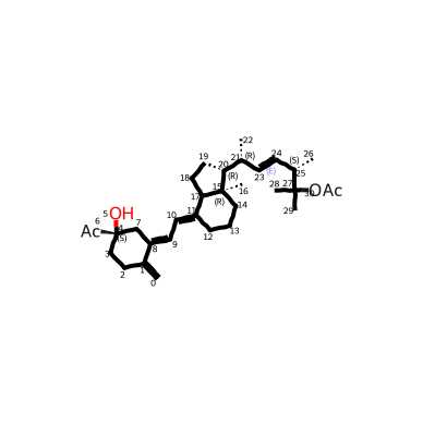 C=C1CC[C@@](O)(C(C)=O)CC1=CC=C1CCC[C@@]2(C)C1CC[C@@H]2[C@H](C)/C=C/[C@H](C)C(C)(C)OC(C)=O